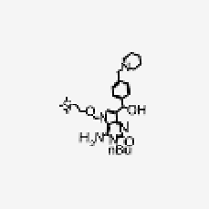 CCCCOc1nc(N)c2c(n1)c(C(O)c1ccc(CN3CCCCC3)cc1)cn2COCC[Si](C)(C)C